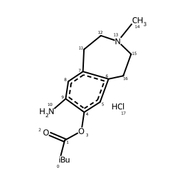 CCC(C)C(=O)Oc1cc2c(cc1N)CCN(C)CC2.Cl